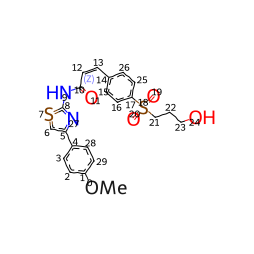 COc1ccc(-c2csc(NC(=O)/C=C\c3ccc(S(=O)(=O)CCCO)cc3)n2)cc1